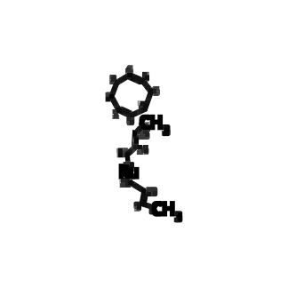 C1=CCCC=CCC1.CC=C[CH2][Ru][CH2]C=CC